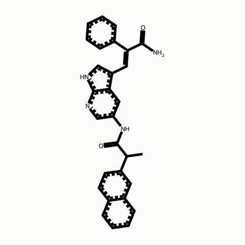 CC(C(=O)Nc1cnc2[nH]cc(/C=C(/C(N)=O)c3ccccc3)c2c1)c1ccc2ccccc2c1